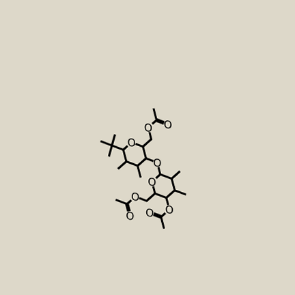 CC(=O)OCC1OC(OC2C(COC(C)=O)OC(C(C)(C)C)C(C)C2C)C(C)C(C)C1OC(C)=O